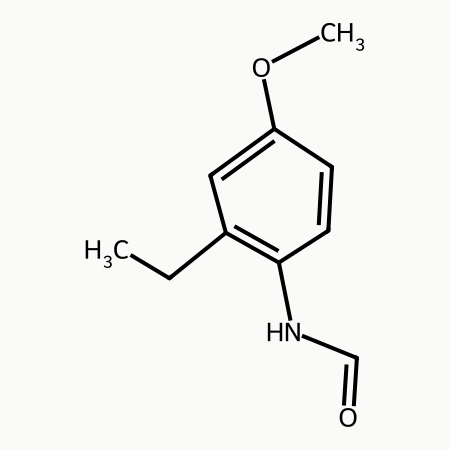 CCc1cc(OC)ccc1NC=O